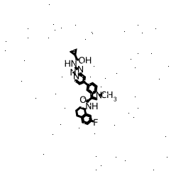 Cn1cc(C(=O)N[C@H]2CCCc3ccc(F)cc32)c2cc(-c3ccn4nc(NC(O)C5CC5)nc4c3)ccc21